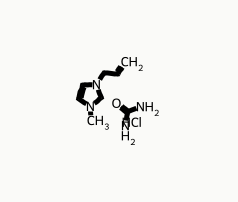 C=CCN1C=CN(C)C1.Cl.NC(N)=O